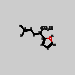 CCOC(=O)C(CC=C(C)C)c1ccco1